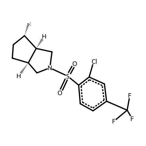 [C][C@H]1CC[C@@H]2CN(S(=O)(=O)c3ccc(C(F)(F)F)cc3Cl)C[C@@H]21